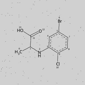 CC(Nc1cc(Br)ccc1Cl)C(=O)O